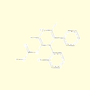 COC(=O)OC1=C(C)NC(C)=C(c2ccccc2)C1c1ccccc1Cl